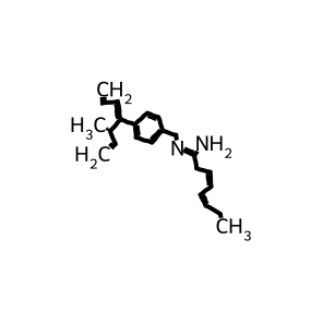 C=C/C=C(/c1ccc(C/N=C(\N)C/C=C\C=C/CC)cc1)[C@H](C)C=C